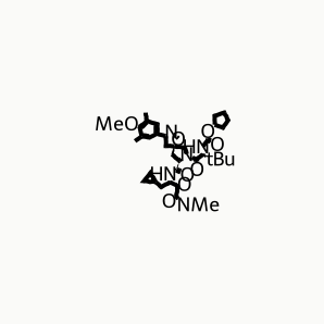 CNC(=O)C(=O)C(CC1CC1)NC(=O)[C@@H]1C[C@]2(CC(c3cc(C)c(OC)c(C)c3)=NO2)CN1C(=O)[C@@H](NC(=O)OC1CCCC1)C(C)(C)C